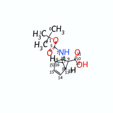 CC(C)(C)OC(=O)N[C@@H]1C(C(=O)O)[C@H]2C=C[C@@H]1C2